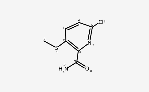 CSc1ccc(Cl)nc1C(N)=O